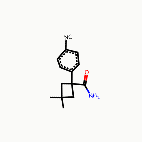 [C-]#[N+]c1ccc(C2(C(N)=O)CC(C)(C)C2)cc1